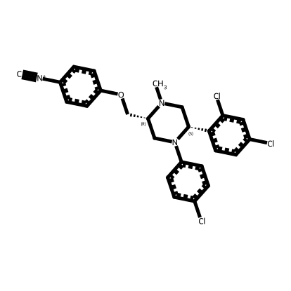 [C-]#[N+]c1ccc(OC[C@H]2CN(c3ccc(Cl)cc3)[C@@H](c3ccc(Cl)cc3Cl)CN2C)cc1